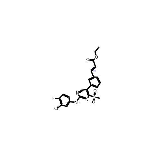 CCOC(=O)/C=C/c1cccc(-c2cnc(Nc3ccc(F)c(Cl)c3)nc2S(C)(=O)=O)c1